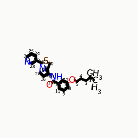 CC(C)CCCOc1cccc(C(=O)Nc2ccn3c2CSC3c2cccnc2)c1